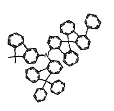 CC1(C)c2ccccc2-c2cc(N(c3cccc4c3-c3ccccc3C4(c3ccccc3)c3ccccc3)c3cccc4c3-c3ccccc3C43c4ccccc4-c4c(-c5ccccc5)cccc43)ccc21